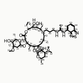 CC[C@H]1OC(=O)[C@H](C)[C@@H](O[C@H]2C[C@@](C)(OC)[C@@H](O)[C@H](C)O2)[C@H](C)[C@@H](O[C@@H]2O[C@H](C)C[C@H](N(C)C)[C@H]2O)[C@](C)(O)C[C@@H](C)CN(CCCNC(=S)Nc2cccc3nsnc23)[C@H](C)[C@@H](O)[C@]1(C)O